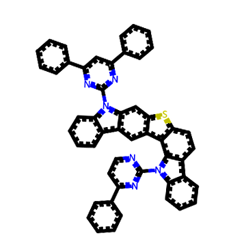 c1ccc(-c2cc(-c3ccccc3)nc(-n3c4ccccc4c4cc5c(cc43)sc3ccc4c6ccccc6n(-c6nccc(-c7ccccc7)n6)c4c35)n2)cc1